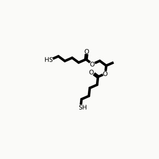 CC(COC(=O)CCCCS)OC(=O)CCCCS